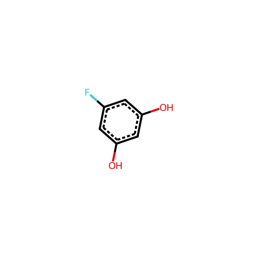 Oc1cc(O)cc(F)c1